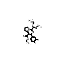 C=CS/C(=N\C)C1=NC(c2ccc(F)c(F)c2)C(C(=O)OCC)=C2CCCN12